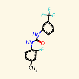 Cc1ccc(NC(=O)Nc2cccc(C(F)(F)F)c2)c(F)c1